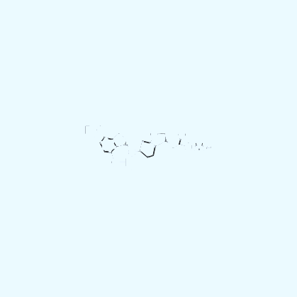 COC(=O)C[C@@H]1COC2=CC(O[C@@H]3CCc4c(C(F)(F)F)ccc(C)c43)=C=C=C21